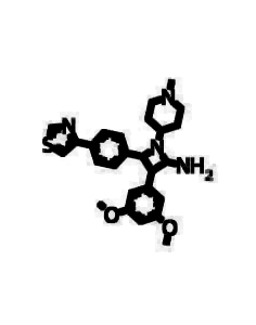 COc1cc(OC)cc(C2C(N)N(C3CCN(C)CC3)C2c2ccc(-c3cscn3)cc2)c1